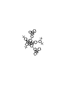 CC(C)(C)c1ccc(N2c3ccc(C(C)(C)C)cc3B3c4ccc(-c5cc6c7ccccc7n7c8ccccc8c(c5)c67)cc4N(c4ccc(-c5cc(C(C)(C)C)cc(C(C)(C)C)c5)cc4)c4cc(-c5ccc6c(c5)c5cccc7c8ccccc8n6c75)cc2c43)cc1